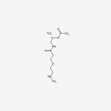 CNCCOCCC(=O)NC[C@H](C)OC(C)=O